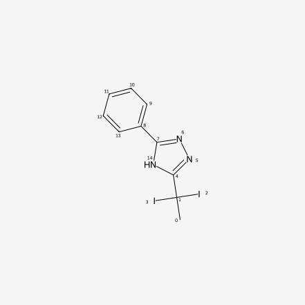 CC(I)(I)c1nnc(-c2ccccc2)[nH]1